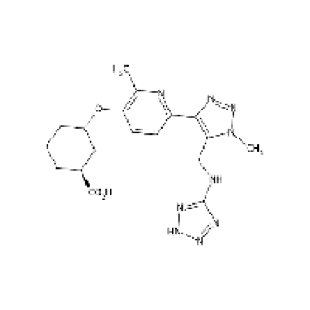 Cc1nc(-c2nnn(C)c2CNc2nn[nH]n2)ccc1O[C@H]1CCC[C@H](C(=O)O)C1